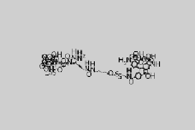 CCSSCO[C@@H]1C[C@H](N2C=C(C#CCNC(=O)NCCCCCOCSSCCNC(=O)c3ccc(C(=O)O)c(-c4c5ccc(=N)c(S(=O)(=O)O)c-5oc5c(S(=O)(=O)O)c(N)ccc45)c3)C(N)NC2=O)O[C@@H]1COP(=O)(O)OP(=O)(O)OP(=O)(O)O